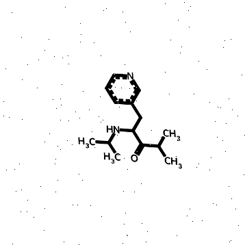 CC(C)NC(Cc1cccnc1)C(=O)C(C)C